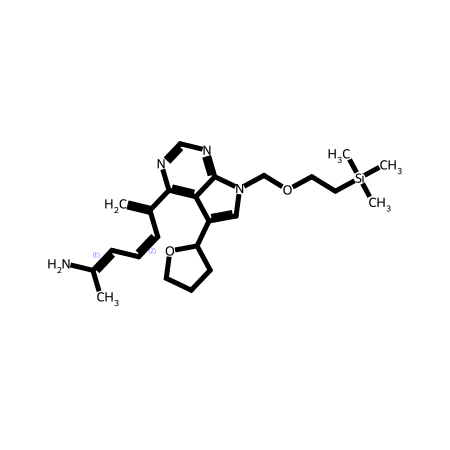 C=C(/C=C\C=C(/C)N)c1ncnc2c1c(C1CCCO1)cn2COCC[Si](C)(C)C